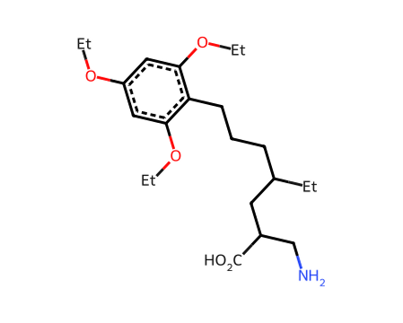 CCOc1cc(OCC)c(CCCC(CC)CC(CN)C(=O)O)c(OCC)c1